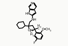 COc1ccc(F)cc1C(C)(C)CC(O)(CNc1cc2ccncc2[nH]1)C1CCCCC1